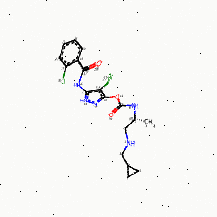 C[C@H](CNCC1CC1)NC(=O)Oc1n[nH]c(NC(=O)c2ccccc2Cl)c1Br